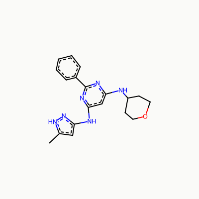 Cc1cc(Nc2cc(NC3CCOCC3)nc(-c3ccccc3)n2)n[nH]1